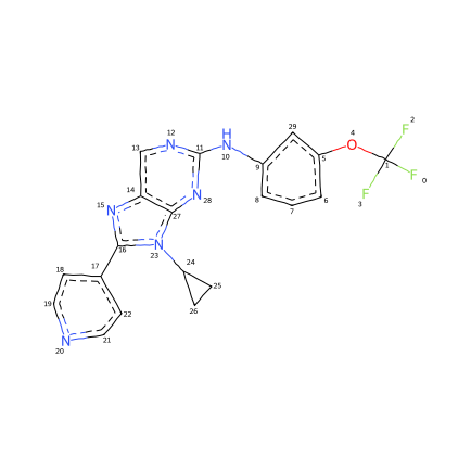 FC(F)(F)Oc1cccc(Nc2ncc3nc(-c4ccncc4)n(C4CC4)c3n2)c1